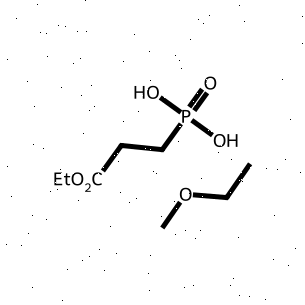 CCOC.CCOC(=O)CCP(=O)(O)O